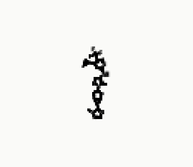 Cc1c(Nc2ncc(C(F)(F)F)c(C3CC3)n2)cnn1C1CC2C(C1)C2c1ncnn1C